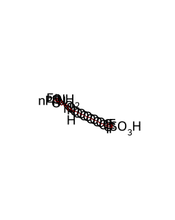 CCCN(OCC)C(=O)C1=Cc2ccc(-c3ccc(C(=O)N4CC[C@@H]4C(=O)NCCOCCOCCOCCOCCOCCOCCOCCOCCOCCOCCC(=O)Oc4c(F)c(F)c(S(=O)(=O)O)c(F)c4F)cc3)cc2N=C(N)C1